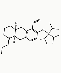 CCCN1CCC[C@@H]2Cc3c(ccc(O[Si](C(C)C)(C(C)C)C(C)C)c3C=O)C[C@H]21